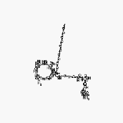 CCCOCCOCCOCCOCCOCCOCCOCCOCCOCCOCCC(=O)N[C@@H](Cc1cn(CCOCCOCCOCCNC(=O)CC[C@H](NC(=O)c2ccc(NCc3cnc4nc(N)[nH]c(=O)c4n3)cc2)C(=O)O)nn1)C(=O)N[C@H]1Cc2cn(nn2)CCCC[C@@H](C(N)=O)NC(=O)[C@@H](C)NC(=O)[C@@H]([C@H](C)O)NC(=O)[C@@H](Cc2cnc[nH]2)NC(=O)[C@@H](CO)NC(=O)[C@@H](Cc2cnc[nH]2)NC1=O